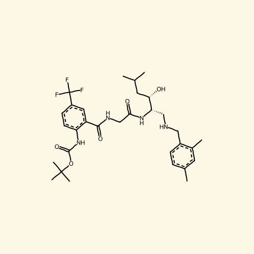 Cc1ccc(CNC[C@H](NC(=O)CNC(=O)c2cc(C(F)(F)F)ccc2NC(=O)OC(C)(C)C)[C@@H](O)CC(C)C)c(C)c1